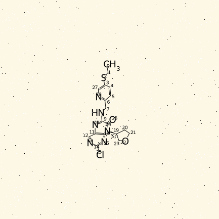 CCSc1ccc(CNc2nc3cnc(Cl)nc3n([C@H]3CCOC3)c2=O)nc1